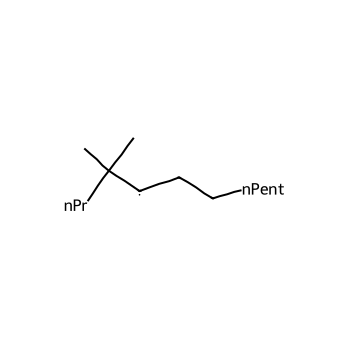 CCCCCCC[CH]C(C)(C)CCC